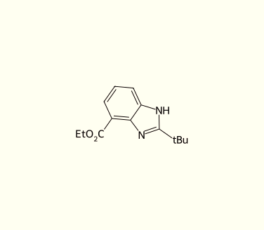 CCOC(=O)c1cccc2[nH]c(C(C)(C)C)nc12